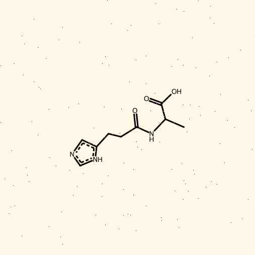 CC(NC(=O)CCc1cnc[nH]1)C(=O)O